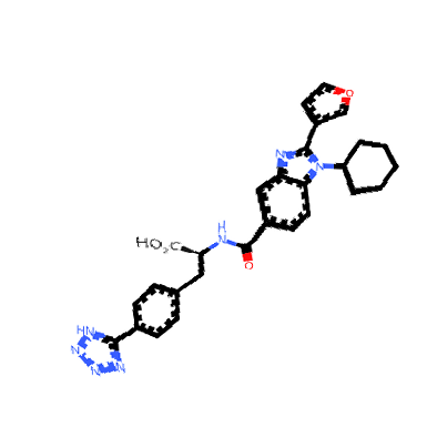 O=C(N[C@@H](Cc1ccc(-c2nnn[nH]2)cc1)C(=O)O)c1ccc2c(c1)nc(-c1ccoc1)n2C1CCCCC1